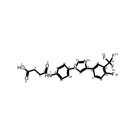 O=C(O)CCC(=O)Nc1ccc(-n2cnc(-c3ccc(F)c(C(F)(F)F)c3)c2)cc1